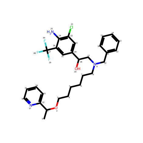 CC(OCCCCCCN(Cc1ccccc1)CC(O)c1cc(Cl)c(N)c(C(F)(F)F)c1)c1ccccn1